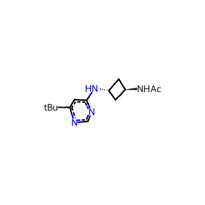 CC(=O)N[C@H]1C[C@H](Nc2cc(C(C)(C)C)ncn2)C1